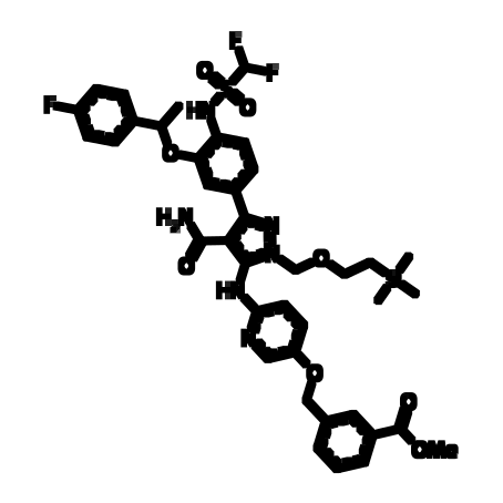 COC(=O)c1cccc(COc2ccc(Nc3c(C(N)=O)c(-c4ccc(NS(=O)(=O)C(F)F)c(OC(C)c5ccc(F)cc5)c4)nn3COCC[Si](C)(C)C)nc2)c1